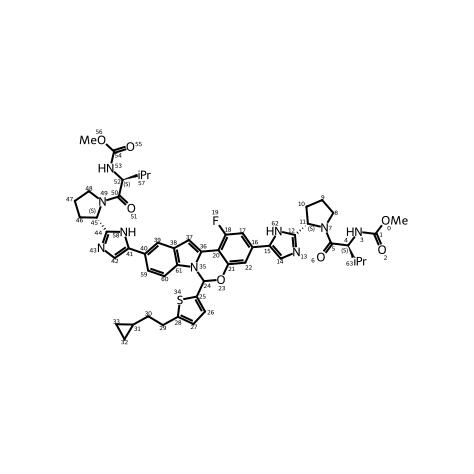 COC(=O)N[C@H](C(=O)N1CCC[C@H]1c1ncc(-c2cc(F)c3c(c2)OC(c2ccc(CCC4CC4)s2)n2c-3cc3cc(-c4cnc([C@@H]5CCCN5C(=O)[C@@H](NC(=O)OC)C(C)C)[nH]4)ccc32)[nH]1)C(C)C